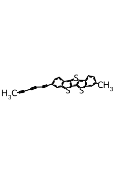 CC#CC#CC#Cc1ccc2c(c1)sc1c2sc2c3ccc(C)cc3sc21